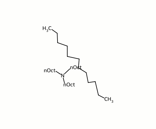 CCCCCCCCCCCC.CCCCCCCCN(CCCCCCCC)CCCCCCCC